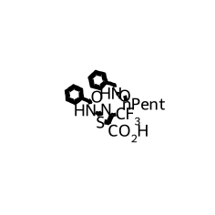 CCCCCONCc1ccccc1.O=C(Nc1nc(C(F)(F)F)c(C(=O)O)s1)c1ccccc1